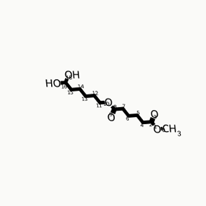 COC(=O)CCCCC(=O)OCCCCCC(O)O